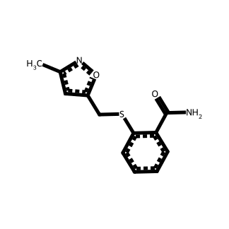 Cc1cc(CSc2ccccc2C(N)=O)on1